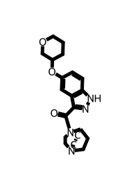 O=C(c1n[nH]c2ccc(OC3CCCOC3)cc12)N1CCN2CCC1CC2